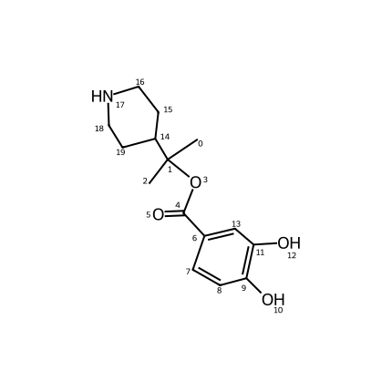 CC(C)(OC(=O)c1ccc(O)c(O)c1)C1CCNCC1